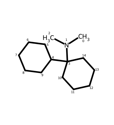 CN(C)C1(C2CCCCC2)CCCCC1